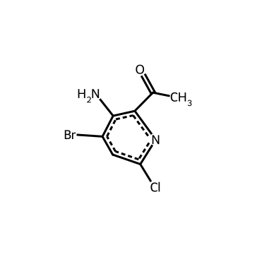 CC(=O)c1nc(Cl)cc(Br)c1N